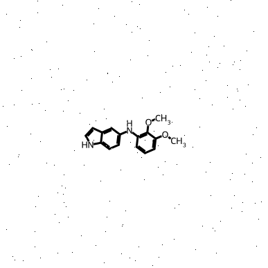 COc1cccc(Nc2ccc3[nH]ccc3c2)c1OC